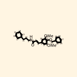 COc1cc(/C=C/C(=O)NCCCc2ccccc2)cc(OC)c1OCc1ccccc1